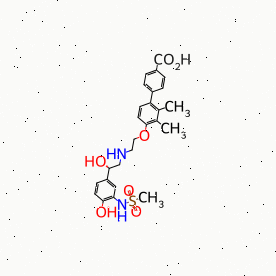 Cc1c(OCCNC[C@H](O)c2ccc(O)c(NS(C)(=O)=O)c2)ccc(-c2ccc(C(=O)O)cc2)c1C